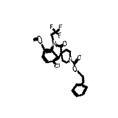 COc1ccc(Cl)c2c1N(CC(F)(F)F)C(=O)C21CCN(C(=O)OCc2ccccc2)CC1